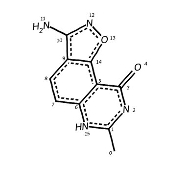 Cc1nc(=O)c2c(ccc3c(N)noc32)[nH]1